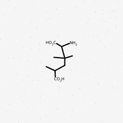 CC(CC(C)(C)C(N)C(=O)O)C(=O)O